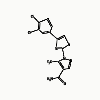 NC(=O)c1cnn(-c2nc(-c3ccc(Cl)c(Cl)c3)cs2)c1C(F)(F)F